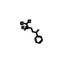 CC(CC[SiH2]C(Cl)Cl)c1ccccc1